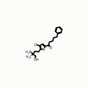 CC(N)(CO)CCc1sc(C(=O)CCCCc2ccccc2)cc1Cl